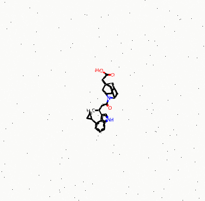 CC(CC(=O)N1C2CC3CC1CC(CC(=O)O)(C3)C2)c1c[nH]c2cccc(C3CC3)c12